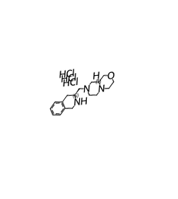 Cl.Cl.Cl.c1ccc2c(c1)CN[C@H](CN1CCN3CCOC[C@@H]3C1)C2